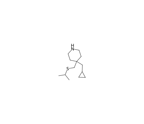 CC(C)SCC1(CC2CC2)CCNCC1